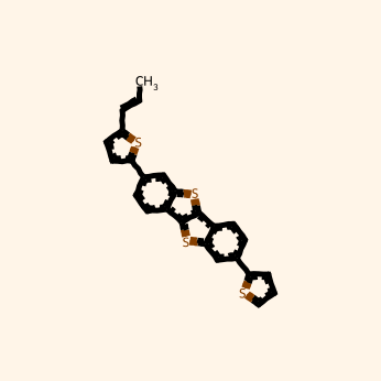 CC=Cc1ccc(-c2ccc3c(c2)sc2c4ccc(-c5cccs5)cc4sc32)s1